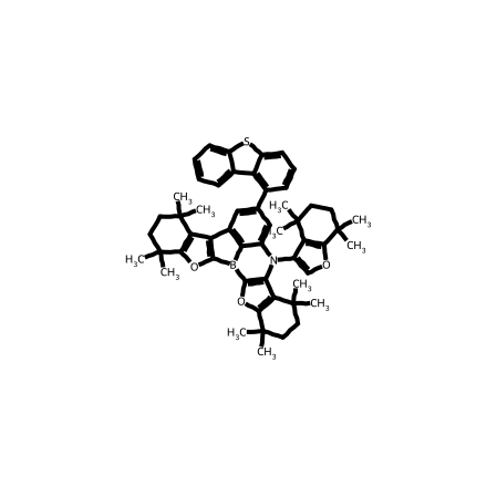 CC1(C)CCC(C)(C)c2c(N3c4cc(-c5cccc6sc7ccccc7c56)cc5c4B(c4oc6c(c4-5)C(C)(C)CCC6(C)C)c4oc5c(c43)C(C)(C)CCC5(C)C)coc21